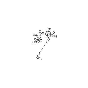 CCCCCCCCCCCCOC(=O)CC(O)(CC(=O)[O-])C(=O)O.O=C([O-])CCC(=O)OS(=O)(=O)O.[Na+].[Na+]